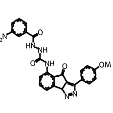 COc1ccc(C2=C3C(=O)c4c(NC(=O)NNC(=O)c5cccc(N)c5)cccc4C3N=N2)cc1